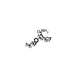 CCCN(CC1CC1)c1cc(C(N)=O)nc(-c2ccc3c(cnn3CC(=O)N(C)C)c2)n1